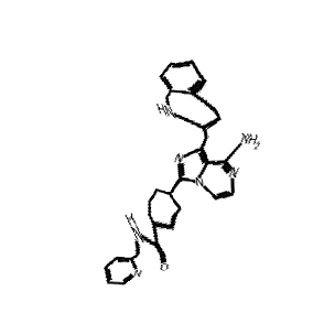 Nc1nccn2c(C3CCC(C(=O)Nc4ccccn4)CC3)nc(C3Cc4ccccc4N3)c12